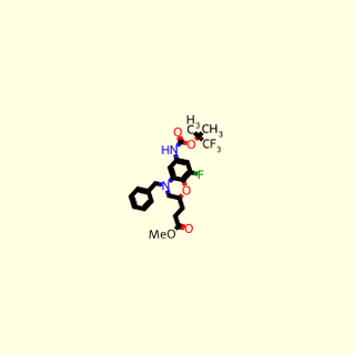 COC(=O)CCC1CN(Cc2ccccc2)c2cc(NC(=O)OC(C)(C)C(F)(F)F)cc(F)c2O1